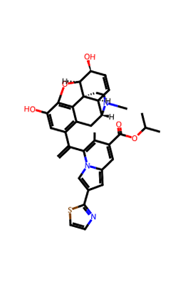 C=C(c1cc(O)c2c3c1C[C@@H]1[C@@H]4C=C[C@H](O)[C@H](O2)[C@]34CCN1C)c1c(C)c(C(=O)OC(C)C)cc2cc(-c3nccs3)cn12